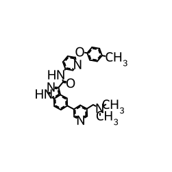 Cc1ccc(Oc2ccc(NC(=O)c3n[nH]c4ccc(-c5cncc(CN(C)C)c5)cc34)cn2)cc1